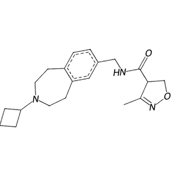 CC1=NOCC1C(=O)NCc1ccc2c(c1)CCN(C1CCC1)CC2